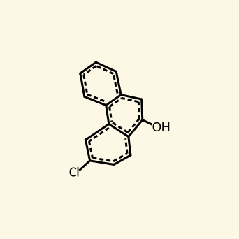 Oc1cc2ccccc2c2cc(Cl)ccc12